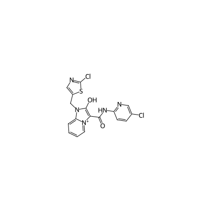 O=C(Nc1ccc(Cl)cn1)c1c(O)n(Cc2cnc(Cl)s2)c2cccc[n+]12